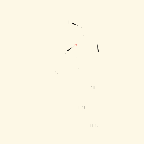 C/C(N)=C/C(=N)Nc1cc(C2=CCOC2)nc(N(C)[C@@H]2C[C@H]3CCC[C@@H](C2)N3C(=O)CC2CC2)n1